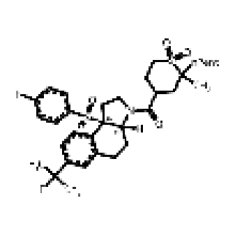 CCCCCC1(C)CC(C(=O)N2CC[C@@]3(S(=O)(=O)c4ccc(F)cc4)c4ccc(C(F)(C(F)(F)F)C(F)(F)F)cc4CC[C@@H]23)CCS1(=O)=O